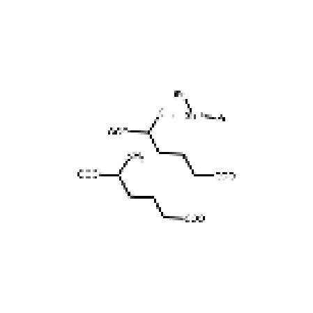 CC(CCCC(=O)[O-])C(=O)[O-].CC(CCCC(=O)[O-])C(=O)[O-].C[CH](C)[Sn+4][CH](C)C